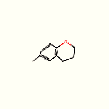 Cc1ccc2c(c1)[CH]CCO2